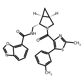 Cc1cccc(-c2sc(C)nc2C(=O)N2C[C@@H]3C[C@@H]3[C@H]2CNC(=O)c2cccc3ncoc23)c1